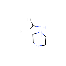 C1CNCCN1.CCC(N)C(=O)O